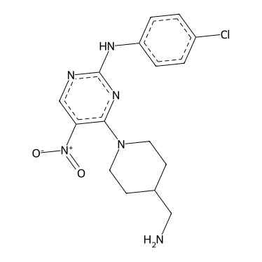 NCC1CCN(c2nc(Nc3ccc(Cl)cc3)ncc2[N+](=O)[O-])CC1